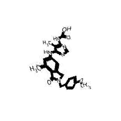 COc1ccc(CN2Cc3cc(Nc4ncnc(NC(=O)O)c4C)cc(C)c3C2=O)cc1